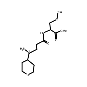 COC(=O)C(COC(C)(C)C)NC(=O)CC[C@H](N)C1CCOCC1